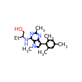 CCC(CO)Nc1nc(C)nc2c(-c3c(C)cc(C)cc3C)cn(C)c12